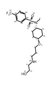 CN([C@H]1CC[C@H](OCCCNCCO)CC1)S(=O)(=O)c1ccc(C(F)(F)F)cc1